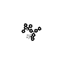 CC1(C)c2ccccc2-c2ccc(N(c3ccc(-c4ccccc4)cc3)c3ccc(-c4nn5c(-c6ccccc6)cc6ccccc6c5c4-c4ccccc4)cc3)cc21